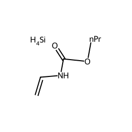 C=CNC(=O)OCCC.[SiH4]